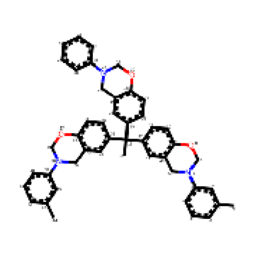 Cc1cccc(N2COc3ccc(C(C)(c4ccc5c(c4)CN(c4ccccc4)CO5)c4ccc5c(c4)CN(c4cccc(C)c4)CO5)cc3C2)c1